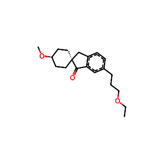 CCOCCCc1ccc2c(c1)C(=O)[C@]1(CC[C@H](OC)CC1)C2